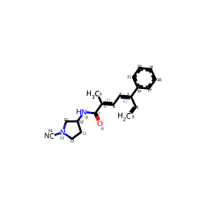 C=C/C(=C\C=C(/C)C(=O)NC1CCN(C#N)C1)c1ccccc1